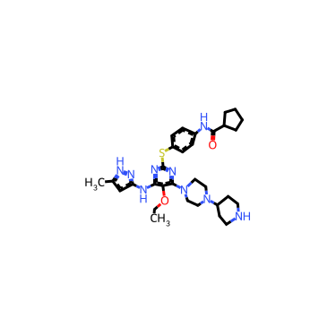 CCOc1c(Nc2cc(C)[nH]n2)nc(Sc2ccc(NC(=O)C3CCCC3)cc2)nc1N1CCN(C2CCNCC2)CC1